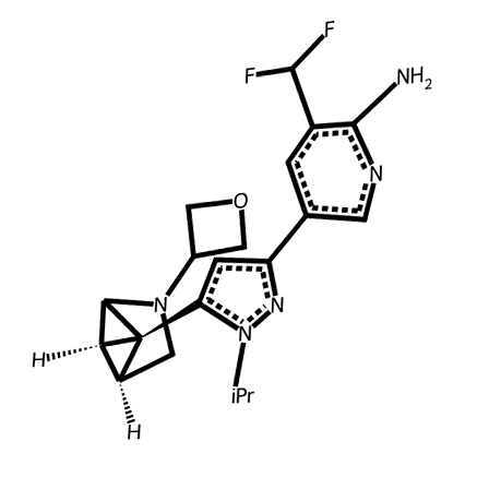 CC(C)n1nc(-c2cnc(N)c(C(F)F)c2)cc1[C@]12C3[C@@H]1[C@@H]2CN3C1COC1